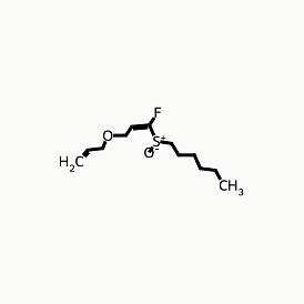 C=CCOCC=C(F)[S+]([O-])CCCCCC